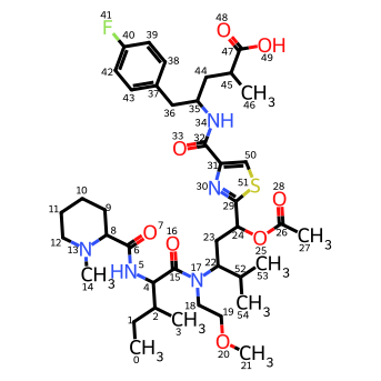 CCC(C)C(NC(=O)C1CCCCN1C)C(=O)N(CCOC)C(CC(OC(C)=O)c1nc(C(=O)NC(Cc2ccc(F)cc2)CC(C)C(=O)O)cs1)C(C)C